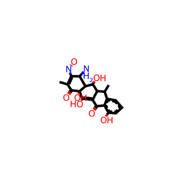 CC1=C(N=O)C(N)C2C(O)C3C(=C(O)C2(O)C1=O)C(=O)c1c(O)cccc1C3C